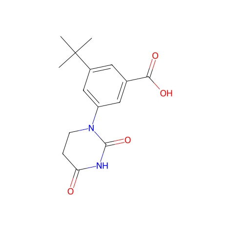 CC(C)(C)c1cc(C(=O)O)cc(N2CCC(=O)NC2=O)c1